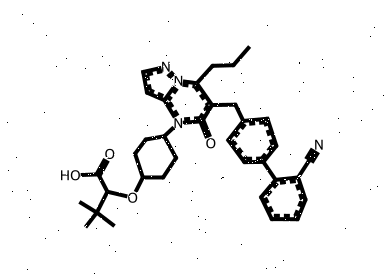 CCCc1c(Cc2ccc(-c3ccccc3C#N)cc2)c(=O)n(C2CCC(OC(C(=O)O)C(C)(C)C)CC2)c2ccnn12